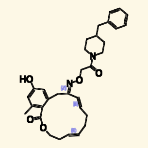 Cc1cc(O)cc2c1C(=O)OCC/C=C/CC/C=C/C(=N\OCC(=O)N1CCC(Cc3ccccc3)CC1)C2